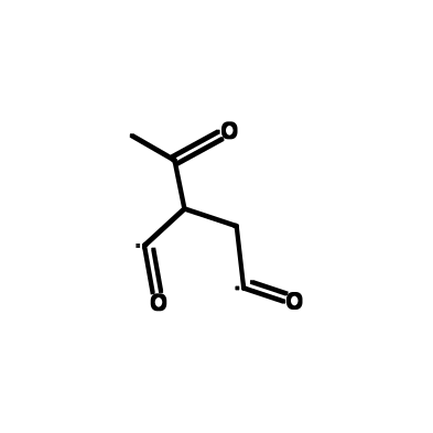 CC(=O)C([C]=O)C[C]=O